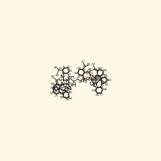 CC(C)c1cccc(C(C)C)c1/N=C1\N(CCCCCCN2/C(=N\c3c(C(C)C)cccc3C(C)C)N(c3c(C(C)C)cccc3C(C)C)C2(O)P2(=O)Oc3ccccc3-c3ccccc32)C(O)(P2(=O)Oc3ccccc3-c3ccccc32)N1c1c(C(C)C)cccc1C(C)C